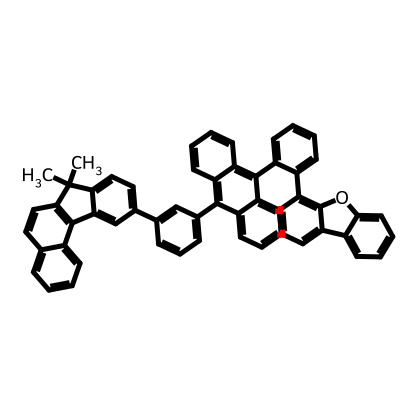 CC1(C)c2ccc(-c3cccc(-c4c5ccccc5c(-c5ccccc5-c5cccc6c5oc5ccccc56)c5ccccc45)c3)cc2-c2c1ccc1ccccc21